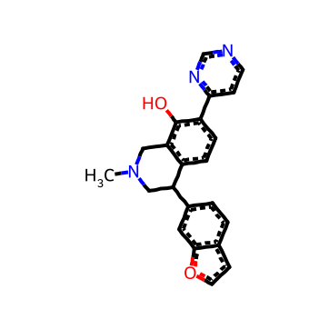 CN1Cc2c(ccc(-c3ccncn3)c2O)C(c2ccc3ccoc3c2)C1